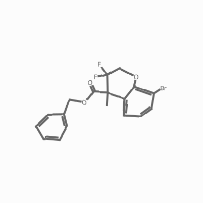 CC1(C(=O)OCc2ccccc2)c2cccc(Br)c2OCC1(F)F